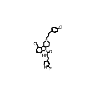 O=C(NCc1ccnc(F)c1)n1c2c(c3c(Cl)cccc31)CN(CC=Cc1ccc(Cl)cc1)CC2